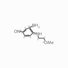 COCCNc1ccc(N=O)cc1N